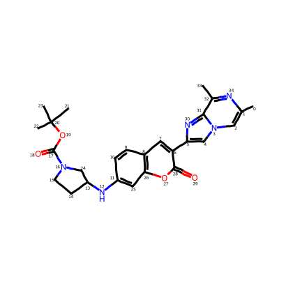 Cc1cn2cc(-c3cc4ccc(NC5CCN(C(=O)OC(C)(C)C)C5)cc4oc3=O)nc2c(C)n1